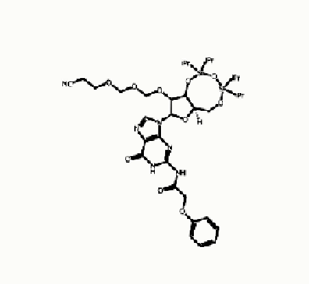 CC(C)[Si]1(C(C)C)OC[C@H]2O[C@@H](n3cnc4c(=O)[nH]c(NC(=O)COc5ccccc5)nc43)[C@@H](OCOCOCCC#N)C2O[Si](C(C)C)(C(C)C)O1